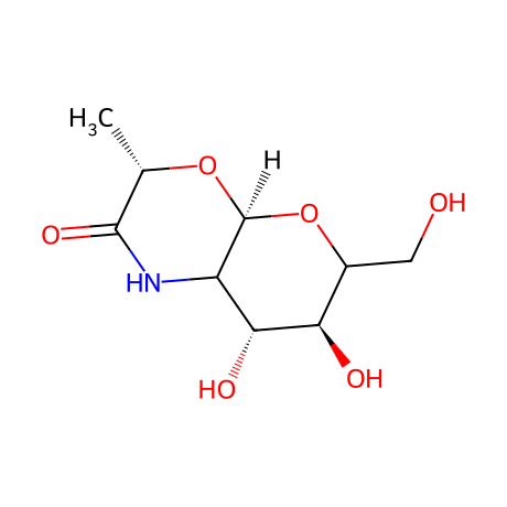 C[C@@H]1O[C@H]2OC(CO)[C@@H](O)[C@H](O)C2NC1=O